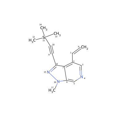 C=Cc1cncc2c1c(C#C[Si](C)(C)C)nn2C